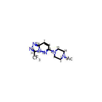 CC(=O)N1CCN(c2ccc3nnc(C(F)(F)F)n3n2)CC1